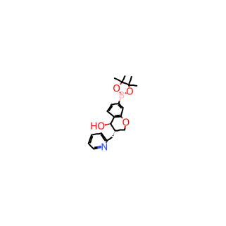 CC1(C)OB(c2ccc3c(c2)OC[C@H](Cc2ccccn2)[C@H]3O)OC1(C)C